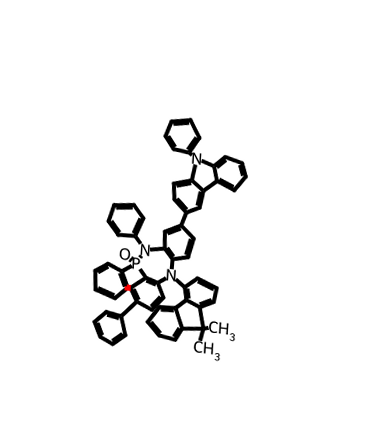 CC1(C)c2ccccc2-c2c(N3c4ccc(-c5ccc6c(c5)c5ccccc5n6-c5ccccc5)cc4N(c4ccccc4)P(=O)(c4ccccc4)c4cc(-c5ccccc5)ccc43)cccc21